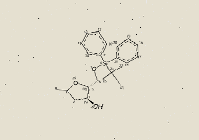 CC1C[C@H](O)[C@@H](CO[Si](c2ccccc2)(c2ccccc2)C(C)(C)C)O1